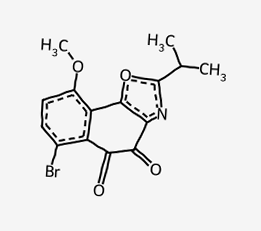 COc1ccc(Br)c2c1-c1oc(C(C)C)nc1C(=O)C2=O